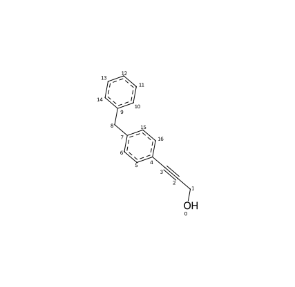 OCC#Cc1ccc(Cc2ccccc2)cc1